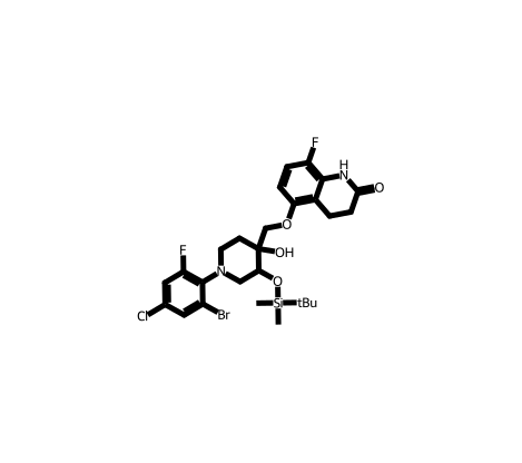 CC(C)(C)[Si](C)(C)OC1CN(c2c(F)cc(Cl)cc2Br)CCC1(O)COc1ccc(F)c2c1CCC(=O)N2